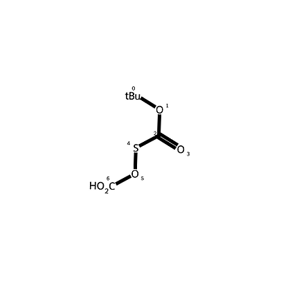 CC(C)(C)OC(=O)SOC(=O)O